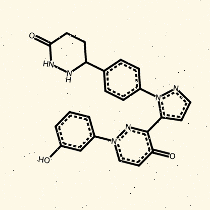 O=C1CCC(c2ccc(-n3nccc3-c3nn(-c4cccc(O)c4)ccc3=O)cc2)NN1